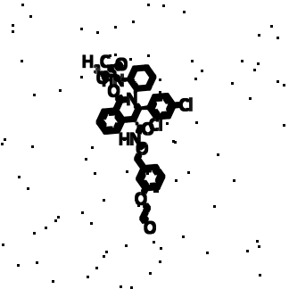 CS(=O)(=O)N[C@H]1CCCC[C@@H]1N1C(=O)c2ccccc2[C@@H](C(=O)NOCc2cccc(OCC=O)c2)[C@@H]1c1ccc(Cl)cc1Cl